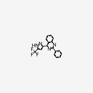 FC(F)(F)c1cc(-c2nc(-c3ccccc3)nc3ccccc23)n[nH]1